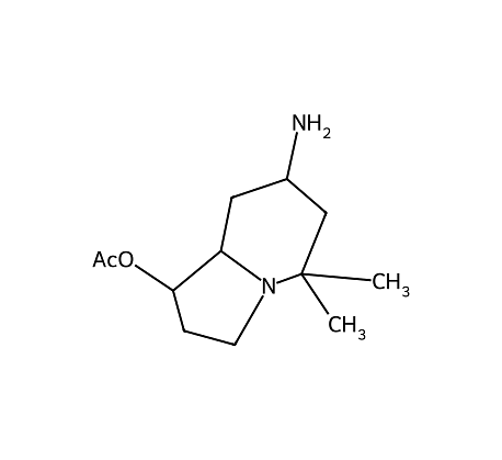 CC(=O)OC1CCN2C1CC(N)CC2(C)C